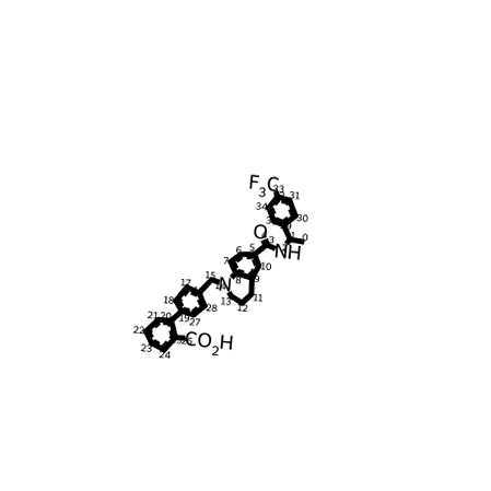 CC(NC(=O)c1ccc2c(c1)CCCN2Cc1ccc(-c2ccccc2C(=O)O)cc1)c1ccc(C(F)(F)F)cc1